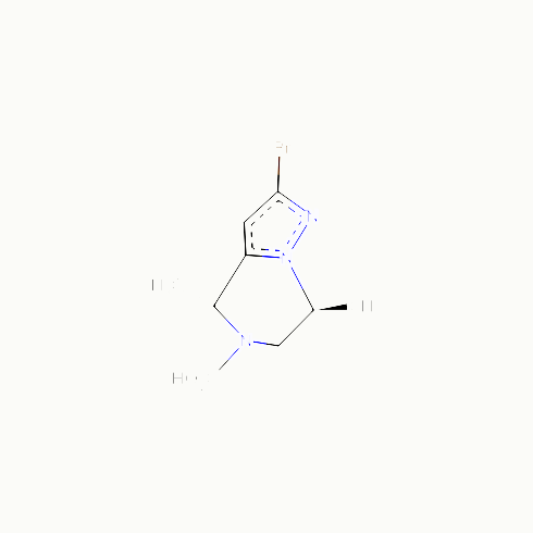 C[C@@H]1c2cc(Br)nn2[C@@H](C)CN1C(=O)O